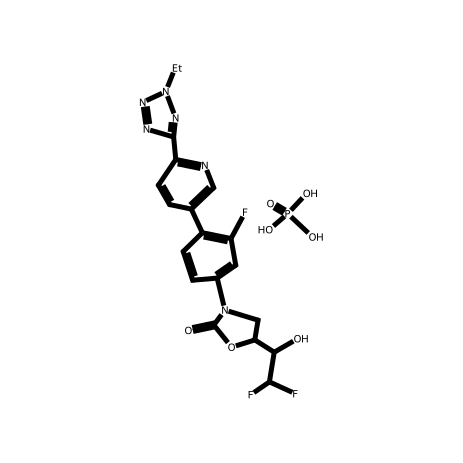 CCn1nnc(-c2ccc(-c3ccc(N4CC(C(O)C(F)F)OC4=O)cc3F)cn2)n1.O=P(O)(O)O